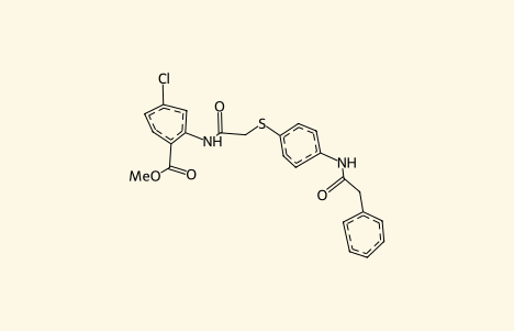 COC(=O)c1ccc(Cl)cc1NC(=O)CSc1ccc(NC(=O)Cc2ccccc2)cc1